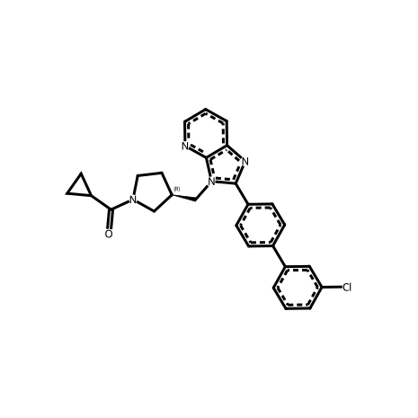 O=C(C1CC1)N1CC[C@@H](Cn2c(-c3ccc(-c4cccc(Cl)c4)cc3)nc3cccnc32)C1